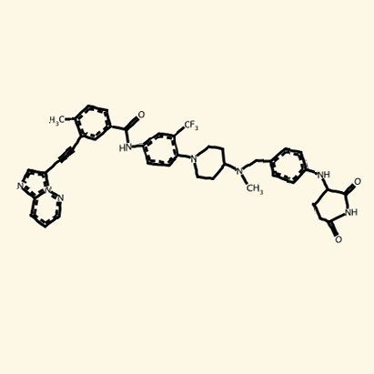 Cc1ccc(C(=O)Nc2ccc(N3CCC(N(C)Cc4ccc(NC5CCC(=O)NC5=O)cc4)CC3)c(C(F)(F)F)c2)cc1C#Cc1cnc2cccnn12